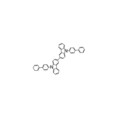 C1=CC(c2ccc(-n3c4ccccc4c4cc(-c5ccc6c(c5)c5ccccc5n6-c5ccc(-c6ccccc6)cc5)ccc43)cc2)=CCC1